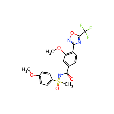 COc1ccc(S(C)(=O)=NC(=O)c2ccc(-c3noc(C(F)(F)F)n3)c(OC)c2)cc1